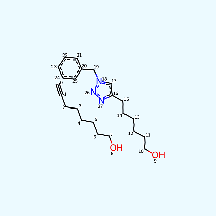 C#CCCCCCCO.OCCCCCCc1cn(Cc2ccccc2)nn1